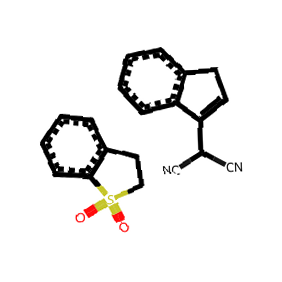 N#CC(C#N)C1=CCc2ccccc21.O=S1(=O)CCc2ccccc21